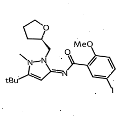 COc1ccc(I)cc1C(=O)N=c1cc(C(C)(C)C)n(C)n1C[C@H]1CCCO1